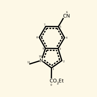 CCOC(=O)c1cc2cc(C#N)ccc2n1C